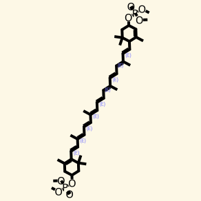 COP(=O)(OC)OC1C=C(C)C(/C=C/C(C)=C/C=C/C(C)=C/C=C/C=C(C)/C=C/C=C(C)/C=C/C2=C(C)CC(OP(=O)(OC)OC)CC2(C)C)C(C)(C)C1